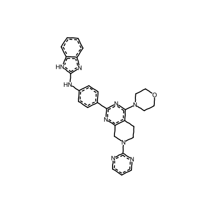 c1cnc(N2CCc3c(nc(-c4ccc(Nc5nc6ccccc6[nH]5)cc4)nc3N3CCOCC3)C2)nc1